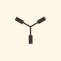 C#CC(C#C)C#C